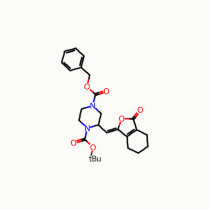 CC(C)(C)OC(=O)N1CCN(C(=O)OCc2ccccc2)CC1C=C1OC(=O)C2=C1CCCC2